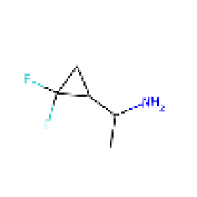 CC(N)C1CC1(F)F